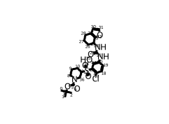 CC(C)(C)OC(=O)N1CCCC(S(=O)(=O)c2c(Cl)ccc(NC(=O)NC3CCCc4ccoc43)c2O)C1